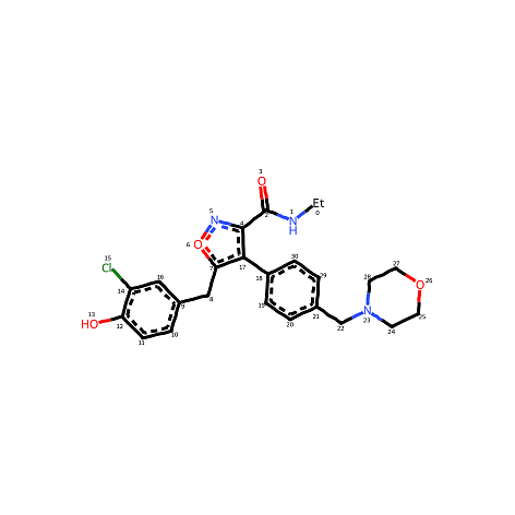 CCNC(=O)c1noc(Cc2ccc(O)c(Cl)c2)c1-c1ccc(CN2CCOCC2)cc1